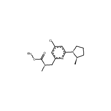 C[C@@H]1CCCN1c1cc(Cl)cc(CN(C)C(=O)OC(C)(C)C)n1